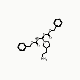 NCCC1CCN(C(=NC(=O)OCc2ccccc2)NC(=O)OCc2ccccc2)C1